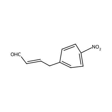 O=CC=CCc1ccc([N+](=O)[O-])cc1